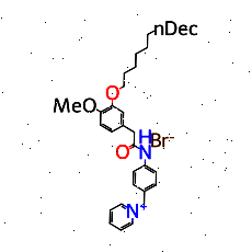 CCCCCCCCCCCCCCCCOc1cc(CC(=O)Nc2ccc(C[n+]3ccccc3)cc2)ccc1OC.[Br-]